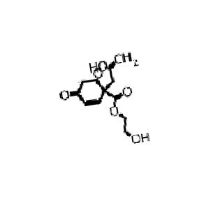 C=C(O)CC1(C(=O)OCCO)C=CC(=O)[CH]C1=O